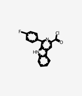 O=C(Cl)c1cc2c([nH]c3ccccc32)c(-c2ccc(F)cc2)n1